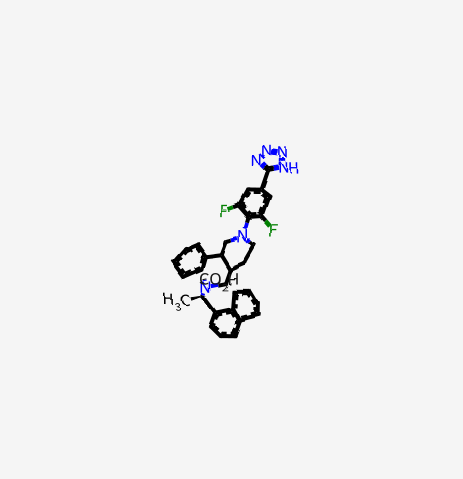 C[C@H](c1cccc2ccccc12)N(CC1CCN(c2c(F)cc(-c3nnn[nH]3)cc2F)CC1c1ccccc1)C(=O)O